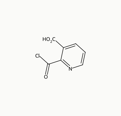 O=C(O)c1cccnc1C(=O)Cl